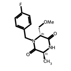 COC[C@@H]1C(=O)N[C@@H](C)C(=O)N1Cc1ccc(F)cc1